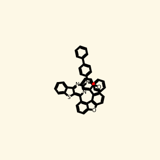 c1ccc(-c2ccc(N(c3ccccc3)c3nc(-c4cccc5oc6ccc7oc8ccccc8c7c6c45)c4sc5ccccc5c4n3)cc2)cc1